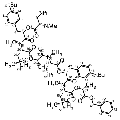 CN[C@@H](CC(C)C)C(=O)O[C@H](Cc1ccc(C(C)(C)C)cc1)C(=O)N(C)[C@@H](CC(C)(C)F)C(=O)O[C@H](C)C(=O)N(C)[C@@H](CC(C)C)C(=O)O[C@H](Cc1ccc(C(C)(C)C)cc1)C(=O)N(C)[C@@H](CC(C)(C)F)C(=O)O[C@H](C)C(=O)OCc1ccccc1